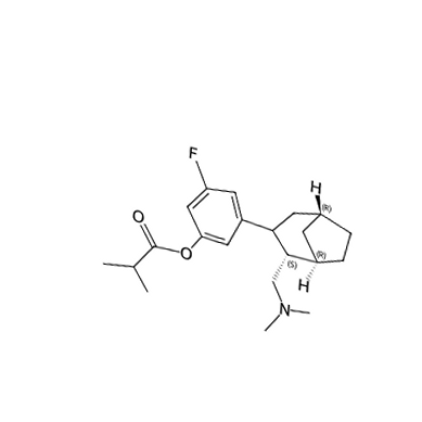 CC(C)C(=O)Oc1cc(F)cc(C2C[C@@H]3CC[C@H](C3)[C@@H]2CN(C)C)c1